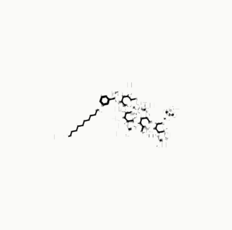 CCCCCCCCCCCOc1cccc(C(=O)NC2[C@H](O[C@H]3C(O)C(NC(C)=O)[C@H](O[C@@H]4C(CO)O[C@@H](O[C@H]5C(O)C(NC(C)=O)C(C)O[C@H]5COS(=O)(=O)O)C(NC(C)=O)[C@H]4O)O[C@H]3CO)OC(CO)[C@@H](O)[C@@H]2O)c1